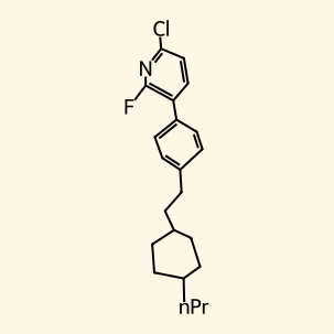 CCCC1CCC(CCc2ccc(-c3ccc(Cl)nc3F)cc2)CC1